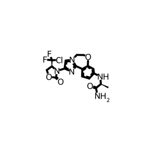 C[C@H](Nc1ccc2c(c1)OCCn1cc(N3C(=O)OC[C@H]3C(F)(F)Cl)nc1-2)C(N)=O